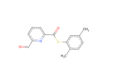 Cc1ccc(C)c(SC(=O)c2cccc(C=O)n2)c1